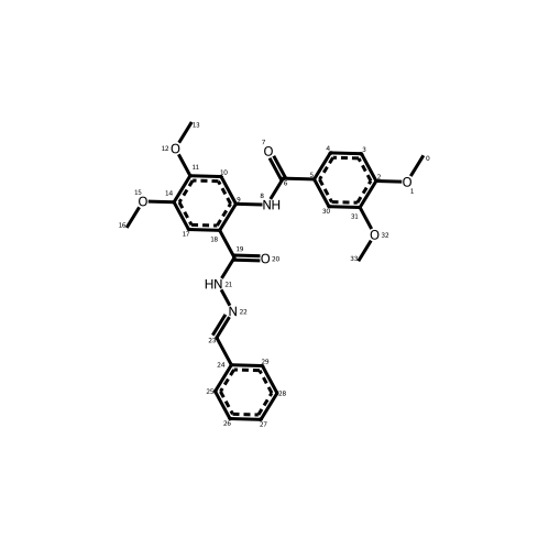 COc1ccc(C(=O)Nc2cc(OC)c(OC)cc2C(=O)N/N=C/c2ccccc2)cc1OC